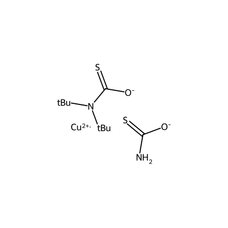 CC(C)(C)N(C([O-])=S)C(C)(C)C.NC([O-])=S.[Cu+2]